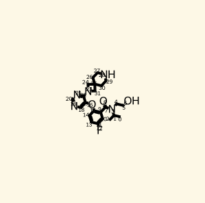 CC(C)N(CCO)C(=O)c1cc(F)ccc1Oc1cncnc1N1CC2(CCNCC2)C1